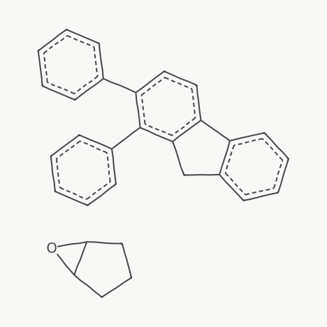 C1CC2OC2C1.c1ccc(-c2ccc3c(c2-c2ccccc2)Cc2ccccc2-3)cc1